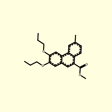 CCCOc1cc2cc(C(=O)OC)c3ccc(C)cc3c2cc1OCCC